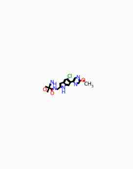 COc1cnc(-c2cc3[nH]c(CNC(=O)C4(C#N)COC4)cc3cc2Cl)cn1